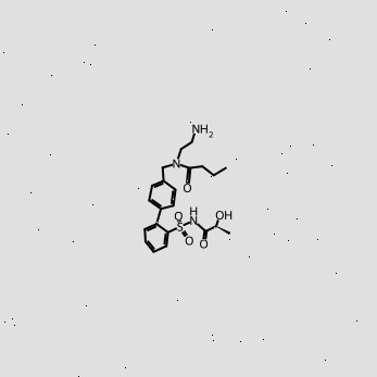 CCCC(=O)N(CCN)Cc1ccc(-c2ccccc2S(=O)(=O)NC(=O)[C@H](C)O)cc1